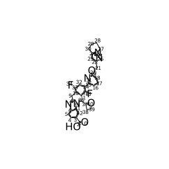 O=C(O)c1ccc2nc(Cc3cc(F)c(-c4cccc(OCc5cc6n(n5)CCCC6)n4)cc3F)n(C[C@@H]3CCO3)c2c1